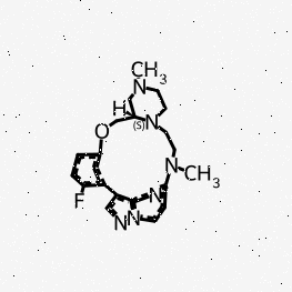 CN1CCN2CCN(C)c3ccn4ncc(c4n3)-c3cc(ccc3F)OC[C@@H]2C1